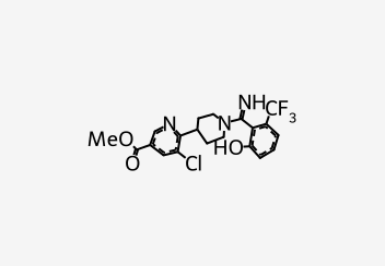 COC(=O)c1cnc(C2CCN(C(=N)c3c(O)cccc3C(F)(F)F)CC2)c(Cl)c1